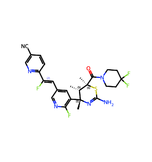 C[C@@H]1[C@@](C)(C(=O)N2CCC(F)(F)CC2)SC(N)=N[C@]1(C)c1cc(/C=C(\F)c2ccc(C#N)cn2)cnc1F